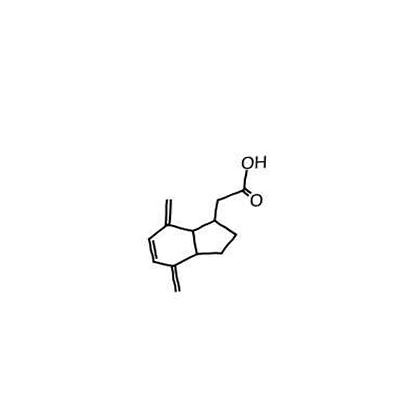 C=C1C=CC(=C)C2C(CC(=O)O)CCC12